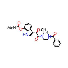 CNC(=O)Oc1cccc2c(C(=O)C(=O)N3CCN(C(=O)c4ccccc4)C[C@H]3C)c[nH]c12